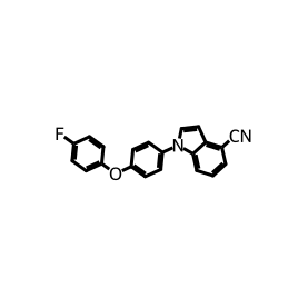 N#Cc1cccc2c1ccn2-c1ccc(Oc2ccc(F)cc2)cc1